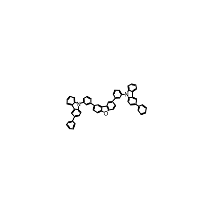 c1ccc(-c2ccc3c(c2)c2ccccc2n3-c2cccc(-c3ccc4oc5ccc(-c6cccc(-n7c8ccccc8c8cc(-c9ccccc9)ccc87)c6)cc5c4c3)c2)cc1